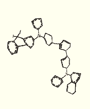 IC1(I)c2ccccc2-c2ccc(N(C3=CC=C(C4=CC(C5=CCC(N(c6ccccc6)c6cccc7c6C=CCC7)C=C5)CC=C4)CC3)c3ccccc3)cc21